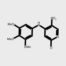 COc1cc(Nc2cc(Cl)ncc2[N+](=O)[O-])cc(OC)c1OC